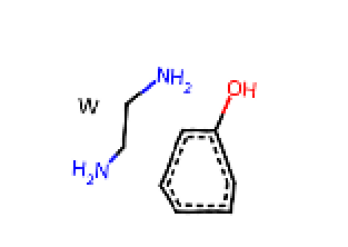 NCCN.Oc1ccccc1.[W]